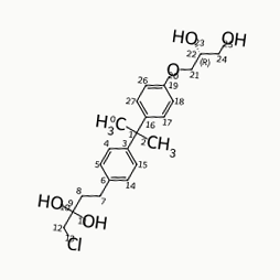 CC(C)(c1ccc(CCC(O)(O)CCl)cc1)c1ccc(OC[C@H](O)CO)cc1